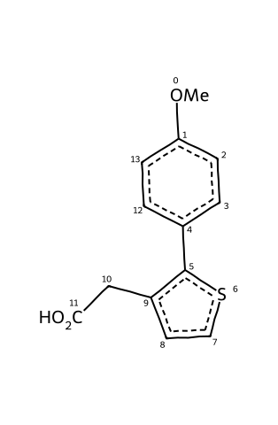 COc1ccc(-c2sccc2CC(=O)O)cc1